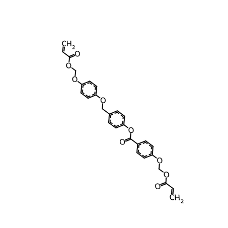 C=CC(=O)OCOc1ccc(OCc2ccc(OC(=O)c3ccc(OCOC(=O)C=C)cc3)cc2)cc1